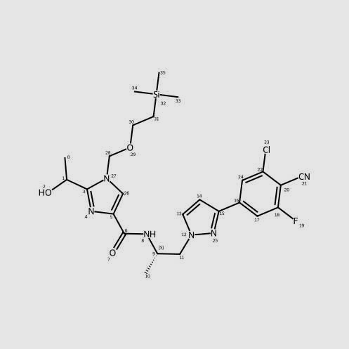 CC(O)c1nc(C(=O)N[C@@H](C)Cn2ccc(-c3cc(F)c(C#N)c(Cl)c3)n2)cn1COCC[Si](C)(C)C